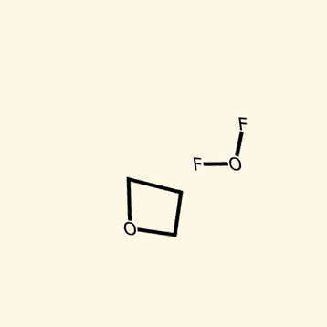 C1COC1.FOF